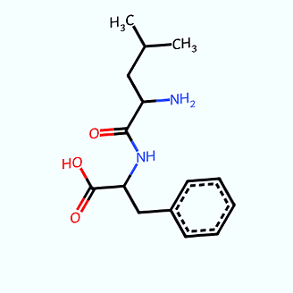 CC(C)CC(N)C(=O)NC(Cc1ccccc1)C(=O)O